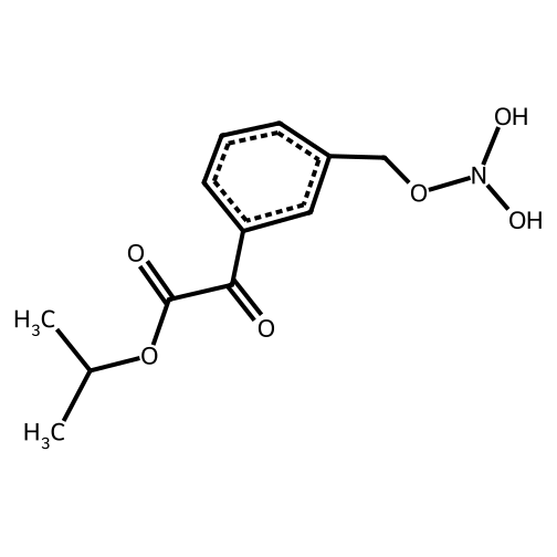 CC(C)OC(=O)C(=O)c1cccc(CON(O)O)c1